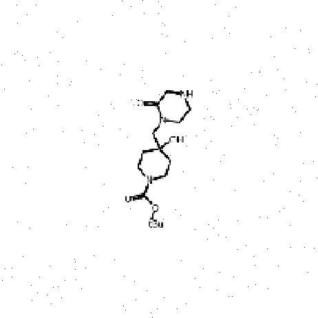 CC(C)(C)OC(=O)N1CCC(O)(CN2CCNCC2=O)CC1